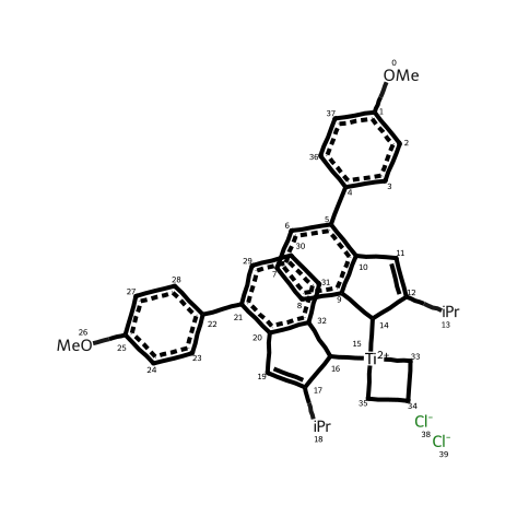 COc1ccc(-c2cccc3c2C=C(C(C)C)[CH]3[Ti+2]2([CH]3C(C(C)C)=Cc4c(-c5ccc(OC)cc5)cccc43)[CH2]C[CH2]2)cc1.[Cl-].[Cl-]